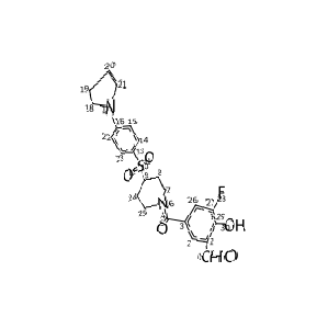 O=Cc1cc(C(=O)N2CCC(S(=O)(=O)c3ccc(N4CCCC4)cc3)CC2)cc(F)c1O